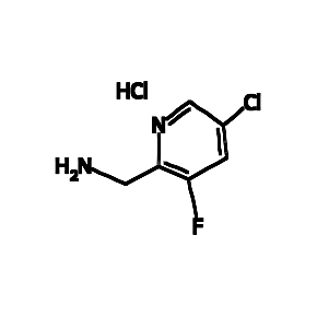 Cl.NCc1ncc(Cl)cc1F